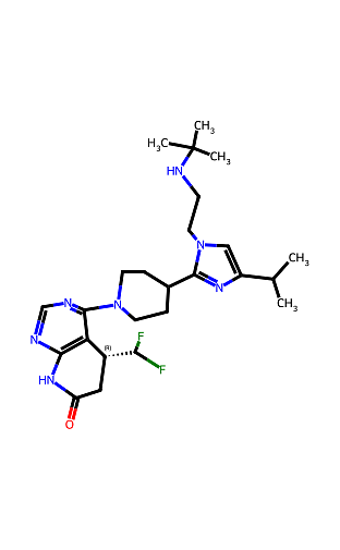 CC(C)c1cn(CCNC(C)(C)C)c(C2CCN(c3ncnc4c3[C@H](C(F)F)CC(=O)N4)CC2)n1